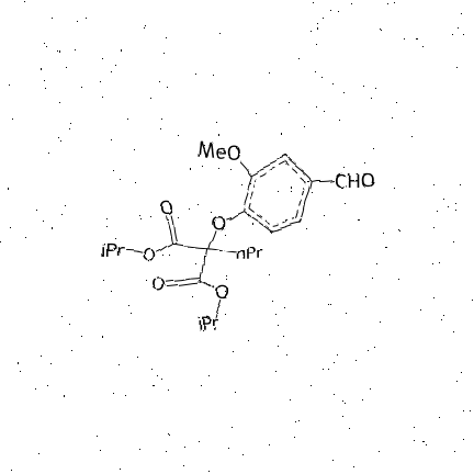 CCCC(Oc1ccc(C=O)cc1OC)(C(=O)OC(C)C)C(=O)OC(C)C